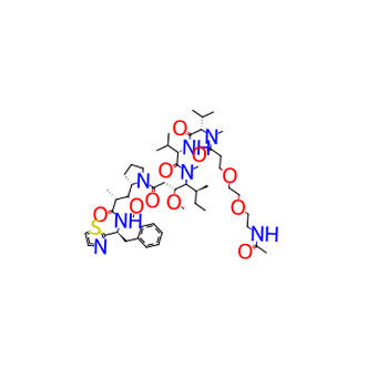 CC[C@H](C)[C@@H]([C@@H](CC(=O)N1CCC[C@H]1[C@H](OC)[C@@H](C)C(=O)N[C@@H](Cc1ccccc1)c1nccs1)OC)N(C)C(=O)[C@@H](NC(=O)[C@H](C(C)C)N(C)C(=O)CCOCCOCCNC(C)=O)C(C)C